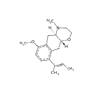 CC=C(C)c1ccc(OC)c2c1C[C@H]1OCCN(C)[C@@H]1C2